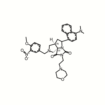 COc1ccc(CN2C[C@H]3CC(c4ccc(N(C)C)c5ccccc45)N4C(=O)N(CCN5CCOCC5)C(=O)[C@@]34C2)cc1[N+](=O)[O-]